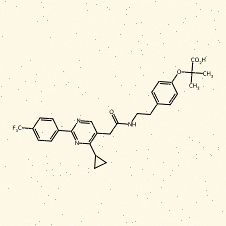 CC(C)(Oc1ccc(CCNC(=O)Cc2cnc(-c3ccc(C(F)(F)F)cc3)nc2C2CC2)cc1)C(=O)O